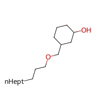 CCCCCCCCCCOCC1CCCC(O)C1